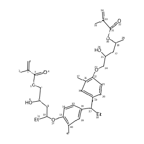 C=C(C)C(=O)OCC(O)CC(CC)Oc1ccc(C(CC)c2ccc(OCC(O)CC(C)OC(=O)C(=C)C)c(C)c2)cc1C